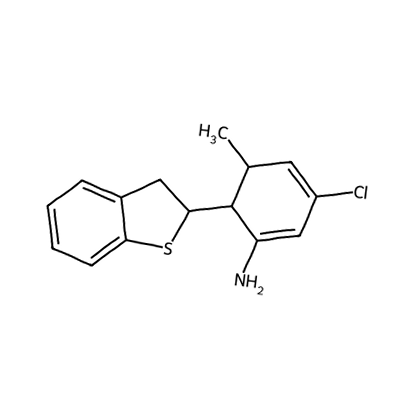 CC1C=C(Cl)C=C(N)C1C1Cc2ccccc2S1